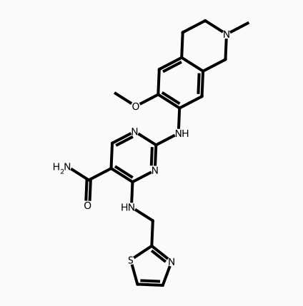 COc1cc2c(cc1Nc1ncc(C(N)=O)c(NCc3nccs3)n1)CN(C)CC2